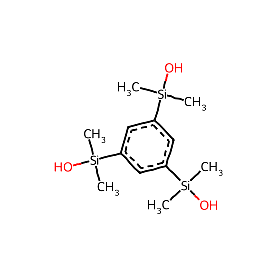 C[Si](C)(O)c1cc([Si](C)(C)O)cc([Si](C)(C)O)c1